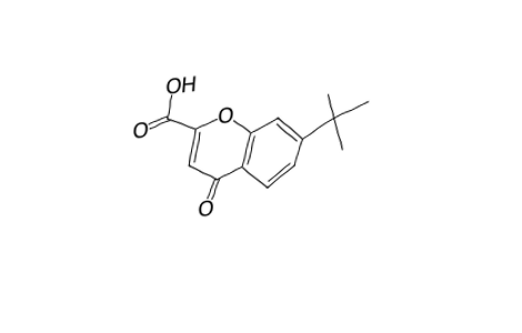 CC(C)(C)c1ccc2c(=O)cc(C(=O)O)oc2c1